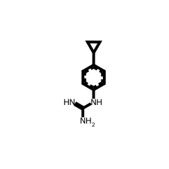 N=C(N)Nc1ccc(C2CC2)cc1